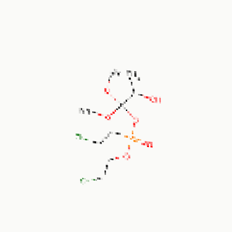 CCCOC(OCCC)(OP(=O)(CCCl)OCCCl)C(C)O